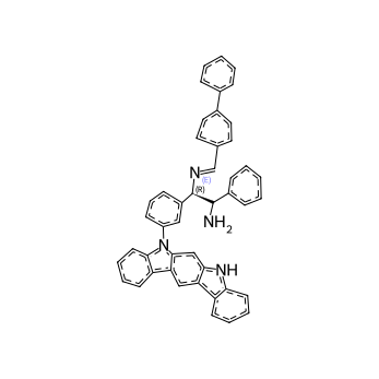 NC(c1ccccc1)[C@H](/N=C/c1ccc(-c2ccccc2)cc1)c1cccc(-n2c3ccccc3c3cc4c(cc32)[nH]c2ccccc24)c1